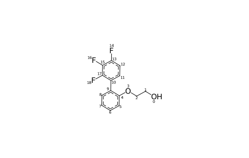 OCCOc1ccccc1-c1ccc(F)c(F)c1F